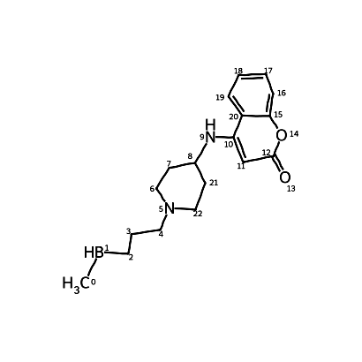 CBCCCN1CCC(Nc2cc(=O)oc3ccccc23)CC1